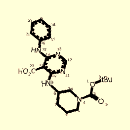 CC(C)(C)OC(=O)N1CCCC(Nc2ncnc(Nc3ccccc3)c2C(=O)O)C1